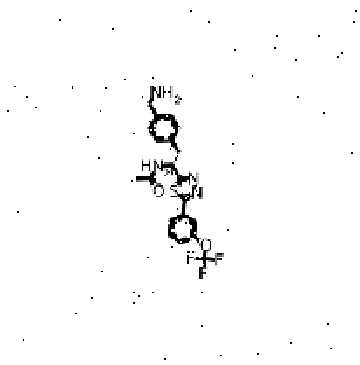 CC(=O)N[C@H](Cc1ccc(CN)cc1)c1nnc(-c2cccc(OC(F)(F)F)c2)s1